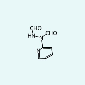 O=CNN(C=O)c1ccccn1